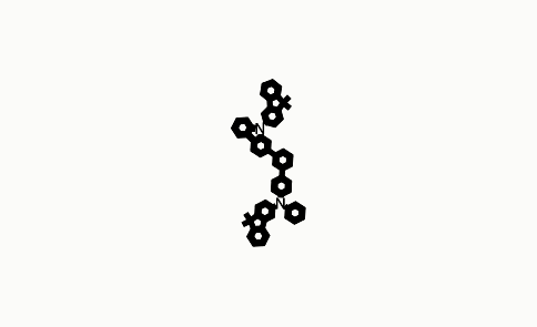 CC1(C)c2ccccc2-c2cc(N(c3ccccc3)c3ccc(-c4cccc(-c5ccc6c7ccccc7n(-c7ccc8c(c7)-c7ccccc7C8(C)C)c6c5)c4)cc3)ccc21